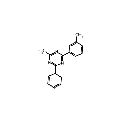 Cc1cccc(-c2nc(C)nc(C3C=CC=CC3)n2)c1